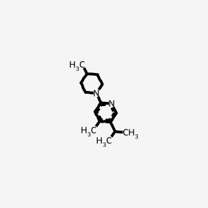 Cc1cc(N2CCC(C)CC2)ncc1C(C)C